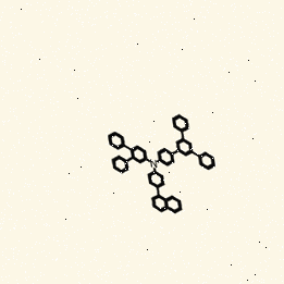 c1ccc(-c2cc(-c3ccccc3)cc(-c3ccc(N(c4ccc(-c5cccc6ccccc56)cc4)c4ccc(-c5ccccc5)c(-c5ccccc5)c4)cc3)c2)cc1